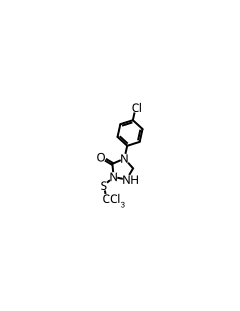 O=C1N(SC(Cl)(Cl)Cl)NCN1c1ccc(Cl)cc1